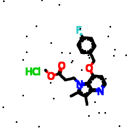 COC(=O)CCn1c(C)c(C)c2nccc(OCc3ccc(F)cc3)c21.Cl